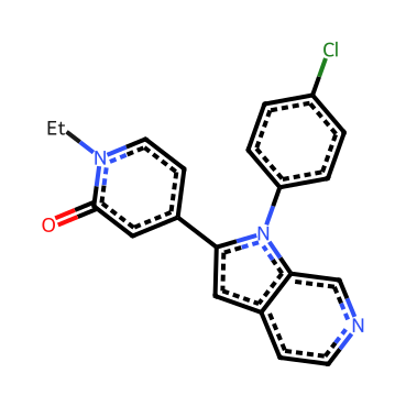 CCn1ccc(-c2cc3ccncc3n2-c2ccc(Cl)cc2)cc1=O